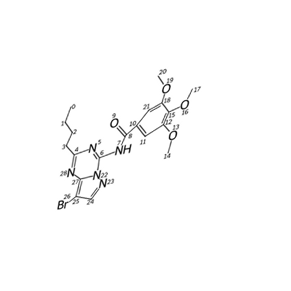 CCCCc1nc(NC(=O)c2cc(OC)c(OC)c(OC)c2)n2ncc(Br)c2n1